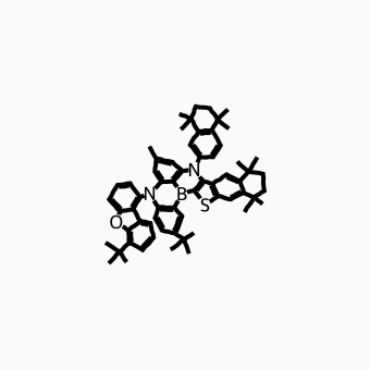 Cc1cc2c3c(c1)N(c1cccc4oc5c(C(C)(C)C)cccc5c14)c1ccc(C(C)(C)C)cc1B3c1sc3cc4c(cc3c1N2c1ccc2c(c1)C(C)(C)CCC2(C)C)C(C)(C)CCC4(C)C